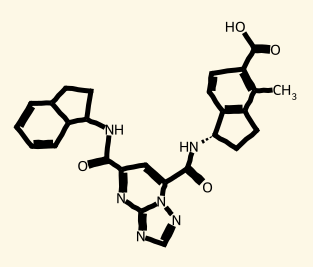 Cc1c(C(=O)O)ccc2c1CC[C@@H]2NC(=O)c1cc(C(=O)NC2CCC3C=CC=CC32)nc2ncnn12